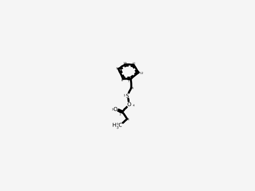 CCC(=O)OSCc1ccccc1